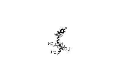 O=C(O)CCC(NC(=O)NC(CCCCNS(=O)(=O)c1ccc(I)cc1)C(=O)O)C(=O)O